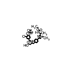 CCOC(=O)NC(C)c1nc(-c2ccc(CC(CCO)NC(=O)c3ccc(OC(C)C(F)(F)F)c(Cl)c3)cc2)cn1CC